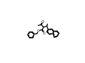 CC(=O)C(C(=O)OCc1ccccc1)C(C)c1ccc2ccccc2c1